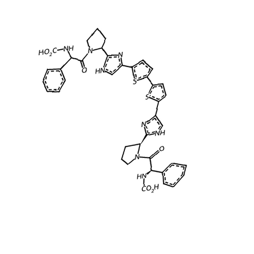 O=C(O)NC(C(=O)N1CCCC1c1nc(-c2ccc(-c3ccc(-c4c[nH]c([C@@H]5CCCN5C(=O)[C@H](NC(=O)O)c5ccccc5)n4)s3)s2)c[nH]1)c1ccccc1